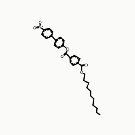 CCCCCCCCCCCOC(=O)c1ccc(C(=O)Oc2ccc(-c3ccc([N+](=O)[O-])cc3)cc2)cc1